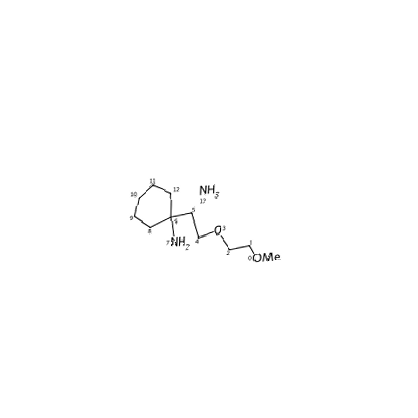 COCCOCCC1(N)CCCCC1.N